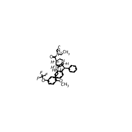 CCN(CC)C(=O)[C@H]1CN2CC[C@@H]1[C@H](NCc1cc(OC(F)(F)F)ccc1OC)[C@@H]2C(c1ccccc1)c1ccccc1